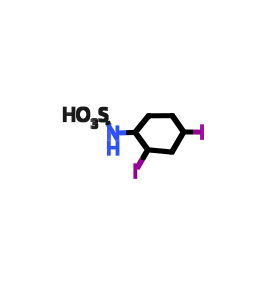 O=S(=O)(O)NC1CCC(I)CC1I